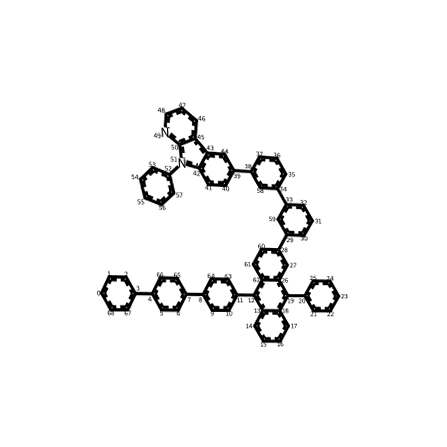 c1ccc(-c2ccc(-c3ccc(-c4c5ccccc5c(-c5ccccc5)c5cc(-c6cccc(-c7cccc(-c8ccc9c(c8)c8cccnc8n9-c8ccccc8)c7)c6)ccc45)cc3)cc2)cc1